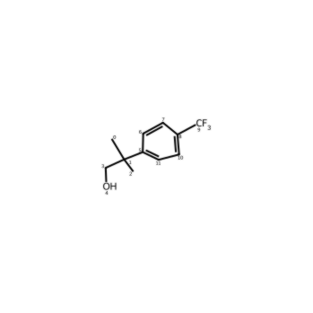 CC(C)(CO)c1ccc(C(F)(F)F)cc1